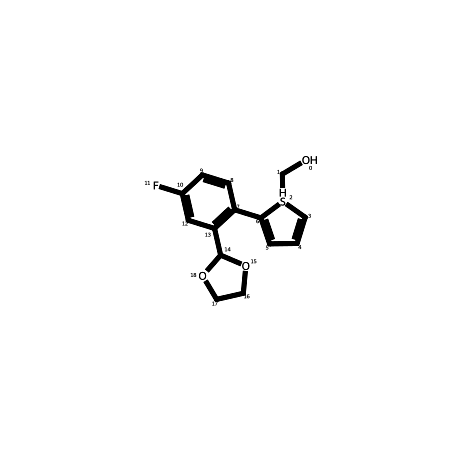 OC[SH]1C=CC=C1c1ccc(F)cc1C1OCCO1